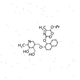 Cc1ncc(COc2ccc3ccccc3c2O[P+]([O-])=N[C@@H](C)C(=O)OC(C)C)c(CO)c1O